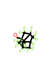 O=CC12C(F)(F)C3(F)C(F)(F)C(F)(C(F)(F)C(F)(C3(F)F)C1(F)F)C2(F)F